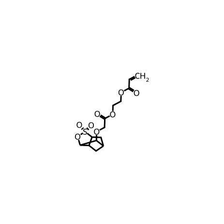 C=CC(=O)OCCOC(=O)COC1C2CC3C1OS(=O)(=O)C3C2